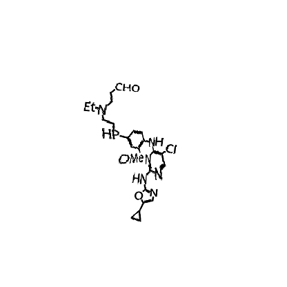 CCN(CCC=O)CCPc1ccc(Nc2nc(Nc3ncc(C4CC4)o3)ncc2Cl)c(OC)c1